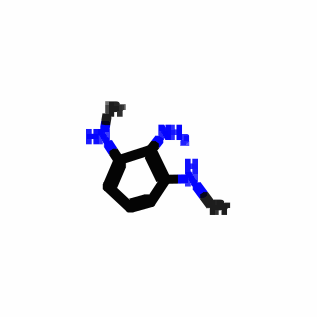 CC(C)Nc1cccc(NC(C)C)c1N